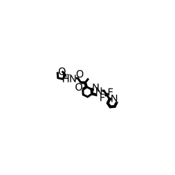 Cc1c(C(=O)NC[C@@H]2CCCO2)oc2c1-c1nn(CC(F)(F)c3ccccn3)cc1CC2